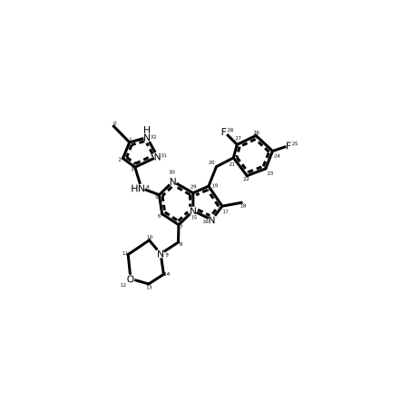 Cc1cc(Nc2cc(CN3CCOCC3)n3nc(C)c(Cc4ccc(F)cc4F)c3n2)n[nH]1